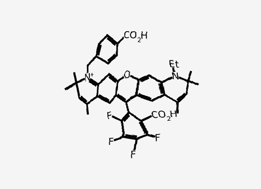 CCN1c2cc3c(cc2C(C)=CC1(C)C)C(c1c(F)c(F)c(F)c(F)c1C(=O)O)=c1cc2c(cc1O3)=[N+](Cc1ccc(C(=O)O)cc1)C(C)(C)C=C2C